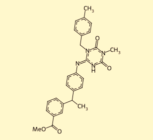 COC(=O)c1cccc(C(C)c2ccc(/N=c3\[nH]c(=O)n(C)c(=O)n3Cc3ccc(C)cc3)cc2)c1